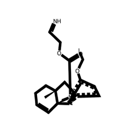 C[C@]12CCC=C[C@]13CCN(C(=O)OCC=N)Cc1ccc(OCI)c(c13)C2